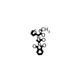 COC(=O)C(c1cccs1)N1CC(N2C(=O)c3ccccc3C2=O)C1=O